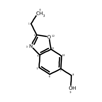 CCc1nc2ccc(CO)cc2o1